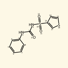 O=C(Nc1ccccc1)NS(=O)(=O)c1ccsc1